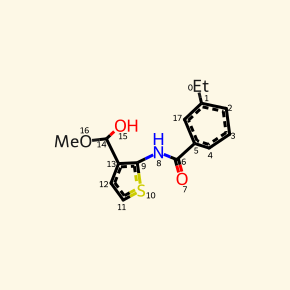 CCc1cccc(C(=O)Nc2sccc2C(O)OC)c1